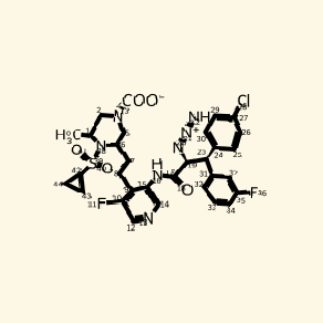 CC1CN(C(=O)[O-])CC(CCc2c(F)cncc2NC(=O)[C@@H](N=[N+]=N)[C@@H](c2ccc(Cl)cc2)c2cccc(F)c2)N1S(=O)(=O)C1CC1